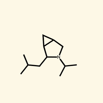 CC(C)CC1C2CC2CN1C(C)C